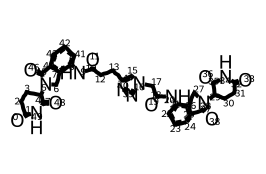 O=C1CCC(N2Cc3c(NC(=O)CCc4cn(CC(=O)Nc5cccc6c5CN(C5CCC(=O)NC5=O)C6=O)nn4)cccc3C2=O)C(=O)N1